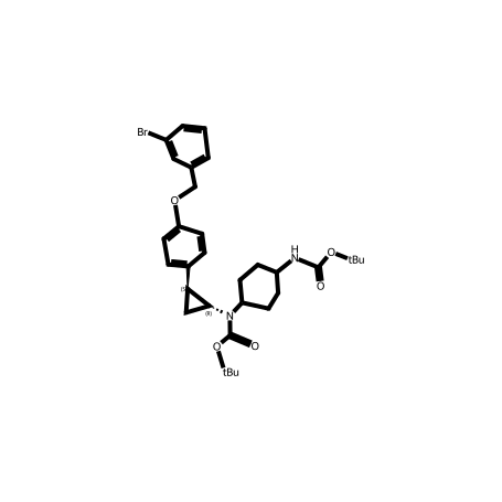 CC(C)(C)OC(=O)NC1CCC(N(C(=O)OC(C)(C)C)[C@@H]2C[C@H]2c2ccc(OCc3cccc(Br)c3)cc2)CC1